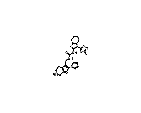 Cc1noc(-c2c(NC(=O)NCc3c(-n4cccc4)sc4c3CCNC4)sc3c2CCCC3)n1